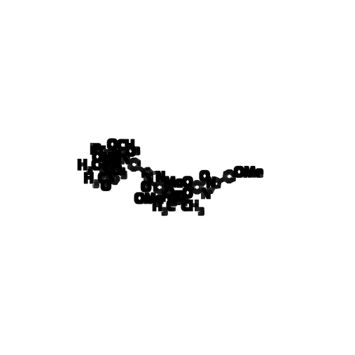 CCC(C)(COc1cc2c(cc1OC)C(=O)N1C=C(c3ccc(NC(=O)C(C)NC(=O)C(NC(=O)C(C)(C)CC(C)(C)N4C(=O)C=CC4=O)C(C)C)cc3)CC1C=N2)CC(C)(C)COc1cc2c(cc1OC)C(=O)N1C=C(c3ccc(OC)cc3)CC1C=N2